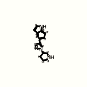 c1cc2cc(-c3cn(C4CCCNC4)nn3)ccc2[nH]1